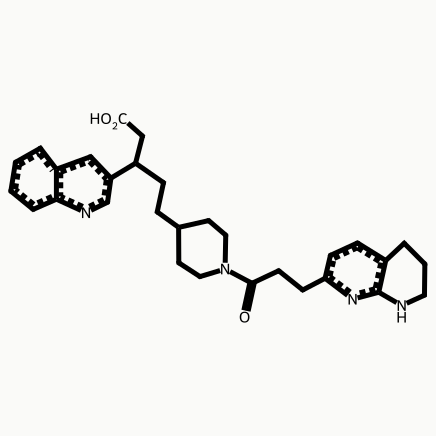 O=C(O)CC(CCC1CCN(C(=O)CCc2ccc3c(n2)NCCC3)CC1)c1cnc2ccccc2c1